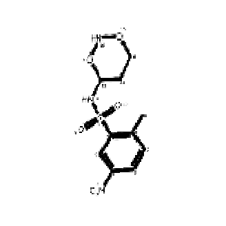 Cc1ccc([N+](=O)[O-])cc1S(=O)(=O)NC1CCONO1